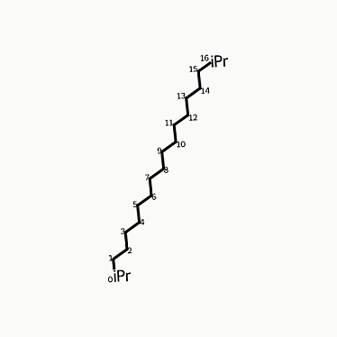 [CH2]C(C)CCCCCCCCCCCCCCCC(C)C